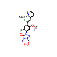 COc1ncccc1/C=C(\F)c1cc(F)c(-n2nc(CO)n(I)c2=O)cc1O[C@@H](C)I